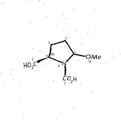 COC1CC[C@H](C(=O)O)N1C(=O)O